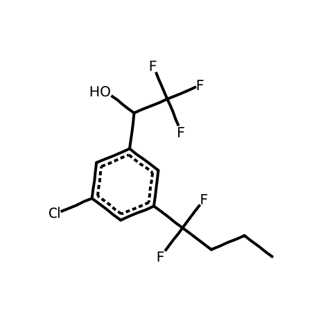 CCCC(F)(F)c1cc(Cl)cc(C(O)C(F)(F)F)c1